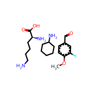 COc1ccc(C=O)cc1F.NC1CCCCC1.NCCCC[C@H](N)C(=O)O